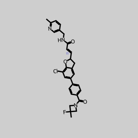 Cc1ccc(CNC(=O)/C=C/C2Cc3cc(-c4ccc(C(=O)N5CC(C)(F)C5)cc4)cc(Cl)c3O2)cn1